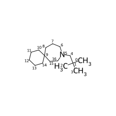 CC(C)(C)CN1CCCC2(CCCCC2)CC1